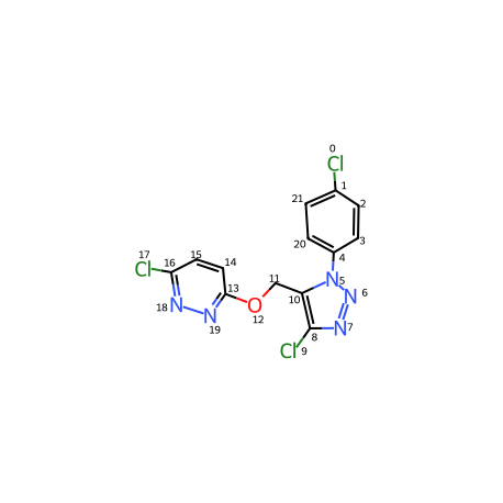 Clc1ccc(-n2nnc(Cl)c2COc2ccc(Cl)nn2)cc1